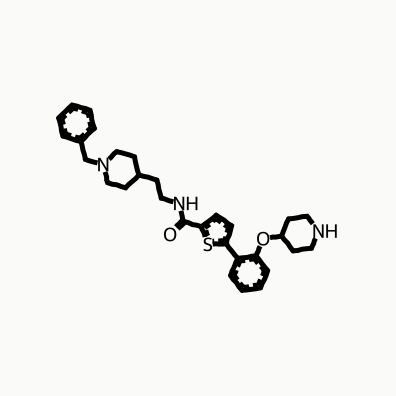 O=C(NCCC1CCN(Cc2ccccc2)CC1)c1ccc(-c2ccccc2OC2CCNCC2)s1